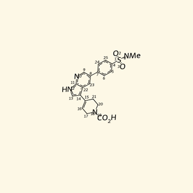 CNS(=O)(=O)c1ccc(-c2cnc3[nH]cc(C4=CCN(C(=O)O)CC4)c3c2)cc1